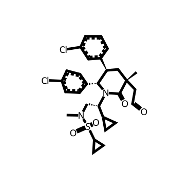 CN(C[C@@H](C1CC1)N1C(=O)[C@@](C)(CC=O)C[C@H](c2cccc(Cl)c2)[C@H]1c1ccc(Cl)cc1)S(=O)(=O)C1CC1